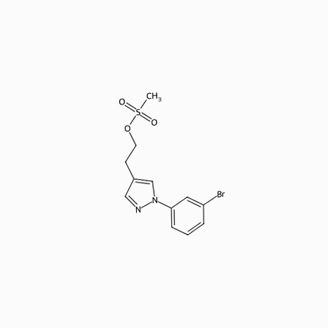 CS(=O)(=O)OCCc1cnn(-c2cccc(Br)c2)c1